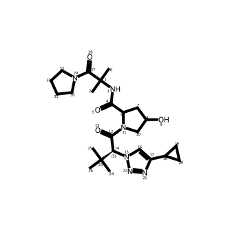 CC(C)(NC(=O)C1CC(O)CN1C(=O)[C@@H](n1cc(C2CC2)nn1)C(C)(C)C)C(=O)N1CCCC1